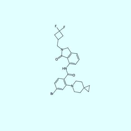 O=C(Nc1cccc2c1C(=O)N(CC1CC(F)(F)C1)C2)c1ccc(Br)cc1N1CCC2(CC1)CC2